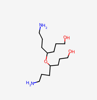 NCCCC(CCCO)OC(CCCN)CCCO